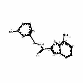 N#Cc1cccc(CNC(=O)c2cc3cccc(N)c3o2)c1